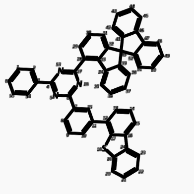 c1ccc(-c2nc(-c3cccc(-c4cccc5c4sc4ccccc45)c3)nc(-c3cccc4c3-c3ccccc3C43c4ccccc4-c4ccccc43)n2)cc1